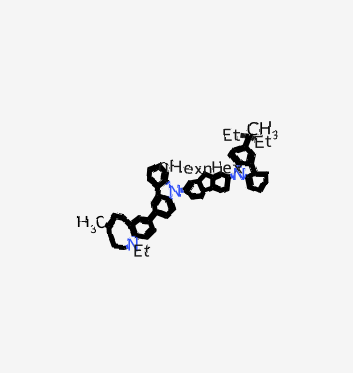 CCCCCCC1(CCCCCC)c2cc(-n3c4ccccc4c4cc(-c5ccc6c(c5)C/C=C(C)\C=C/CN6CC)ccc43)ccc2-c2ccc(-n3c4ccccc4c4cc(C(C)(CC)CC)ccc43)cc21